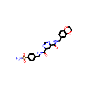 NS(=O)(=O)c1ccc(CNC(=O)c2cc(C(=O)NCc3ccc4c(c3)OCCO4)ncn2)cc1